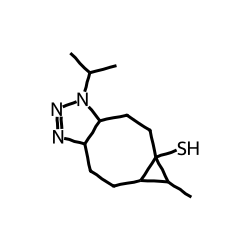 CC(C)N1N=NC2CCC3C(C)C3(S)CCC21